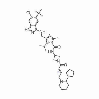 Cc1nc(CNc2n[nH]c3cc(Cl)c(C(C)(C)C)cc23)n(C(C)C)c1C(=O)NC1CN(C(=O)/C=C/CN2CCCCC2C2CCCC2)C1